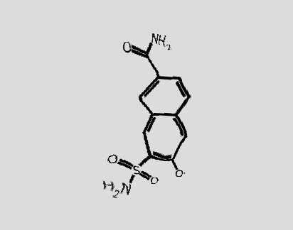 NC(=O)c1ccc2cc([O])c(S(N)(=O)=O)cc2c1